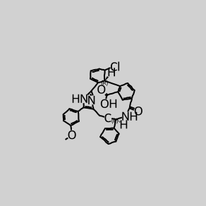 COc1cccc(-c2[nH]c3nc2CC[C@H](c2ccccc2)NC(=O)c2ccc(c(C(=O)O)c2)[C@@H]2C3=CC=CC2Cl)c1